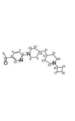 CC(=O)c1ccc(N2CCC(CC3CCN(C4CCC4)CC3)CC2)nc1